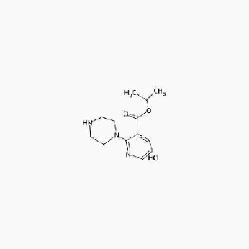 CC(C)OC(=O)c1cccnc1N1CCNCC1.Cl